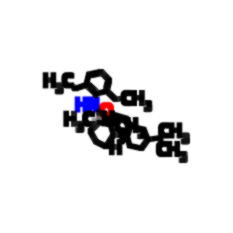 CCc1cccc(CC)c1NC(=O)[C@]1(C)CCC[C@@]2(C)[C@H]1CC=C1CC(C(C)C)CC[C@@H]12